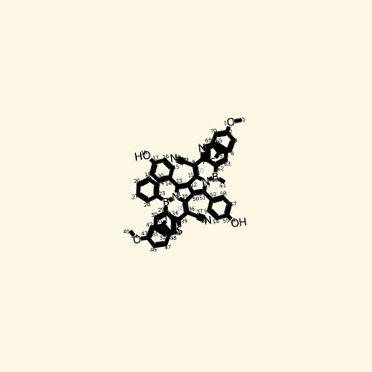 COc1ccc2sc(/C(C#N)=c3/c4c(-c5ccc(O)cc5)n(B(c5ccccc5)c5ccccc5)/c(=C(/C#N)c5nc6cc(OC)ccc6s5)c4c(-c4ccc(O)cc4)n3B(C)c3ccccc3)nc2c1